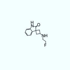 O=C1Nc2ccccc2C12CC(NCCF)C2